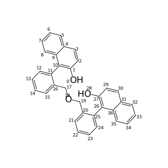 Oc1ccc2ccccc2c1-c1ccccc1COCc1ccccc1-c1c(O)ccc2ccccc12